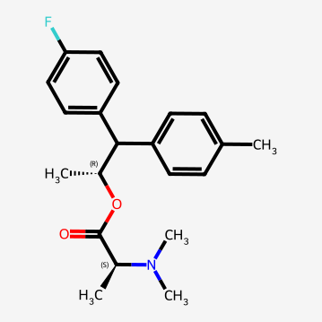 Cc1ccc(C(c2ccc(F)cc2)[C@@H](C)OC(=O)[C@H](C)N(C)C)cc1